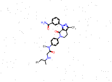 CCN(C(=O)CNC(C)CC(C)C)c1ccc(N2CCc3c(C(F)(F)F)nn(-c4cccc(C(N)=O)c4)c3C2=O)cc1